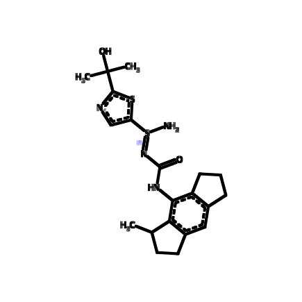 CC1CCc2cc3c(c(NC(=O)/N=S(\N)c4cnc(C(C)(C)O)s4)c21)CCC3